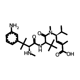 CN[C@H](C(=O)NC(C(=O)N(C)[C@H](/C=C(\C)C(=O)O)C(C)C)C(C)(C)C)C(C)(C)c1cccc(N)c1